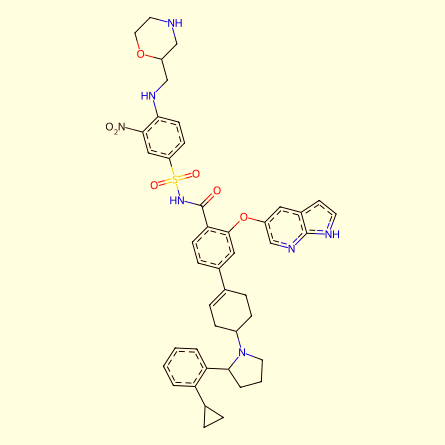 O=C(NS(=O)(=O)c1ccc(NCC2CNCCO2)c([N+](=O)[O-])c1)c1ccc(C2=CCC(N3CCCC3c3ccccc3C3CC3)CC2)cc1Oc1cnc2[nH]ccc2c1